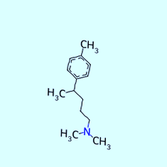 Cc1ccc(C(C)CCCN(C)C)cc1